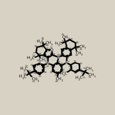 CC1=C(N2c3cc4c(cc3B3c5oc6c(c5N(c5ccc(C(C)(C)C)cc5)c5cc(C)cc2c53)C(C)(C)CCC6(C)C)C(C)(C)CCC4(C)C)CCC(C(C)(C)C)=C1